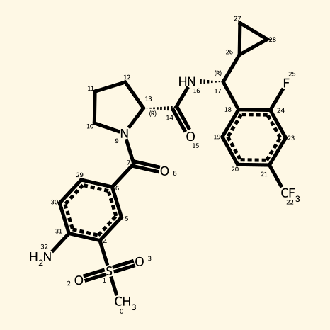 CS(=O)(=O)c1cc(C(=O)N2CCC[C@@H]2C(=O)N[C@@H](c2ccc(C(F)(F)F)cc2F)C2CC2)ccc1N